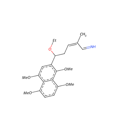 CCOC(CC=C(C)C=N)c1cc(OC)c2c(OC)ccc(OC)c2c1OC